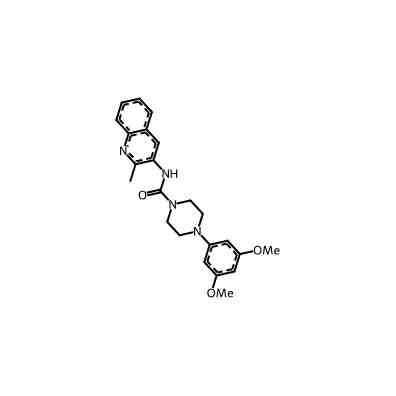 COc1cc(OC)cc(N2CCN(C(=O)Nc3cc4ccccc4nc3C)CC2)c1